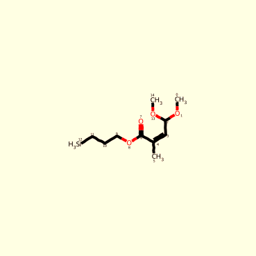 COC(C=C(C)C(=O)OCCC[SiH3])OC